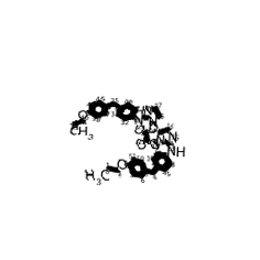 CCCOc1ccc(Cc2ccc(NC3=NCCN3OC(=O)C(=O)ON3CCN=C3Nc3ccc(Cc4ccc(OCCC)cc4)cc3)cc2)cc1